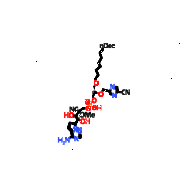 CCCCCCCCCCCCCCCCCCOC[C@@H](COP(=O)(O)OC[C@@](C#N)(OC)[C@@H](O)[C@@H](O)c1ccc2c(N)ncnn12)OCc1cnc(C#N)cn1